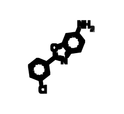 Nc1ccc2nc(-c3cccc(Cl)c3)oc2c1